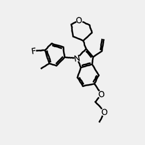 C=Cc1c(C2CCOCC2)n(-c2ccc(F)c(C)c2)c2ccc(OCOC)cc12